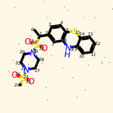 CC(c1ccc2c(c1)Nc1ccccc1S2)S(=O)(=O)N1CCN(S(C)(=O)=O)CC1